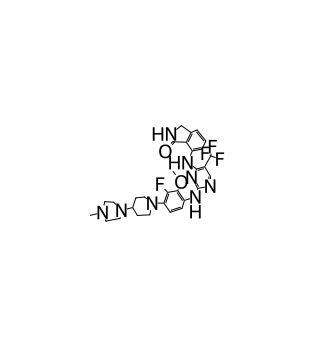 COc1c(Nc2ncc(C(F)(F)F)c(Nc3cccc4c3C(=O)NC4)n2)ccc(N2CCC(N3CCN(C)CC3)CC2)c1F